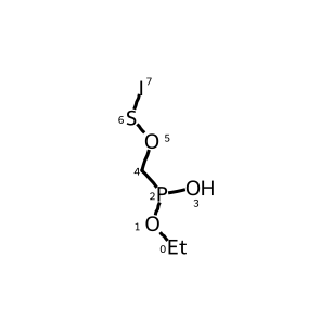 CCOP(O)COSI